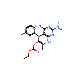 CCOC(=O)OC1=C(C)Nc2nc(N(C)C)nc(N)c2C1c1cccc(Cl)c1